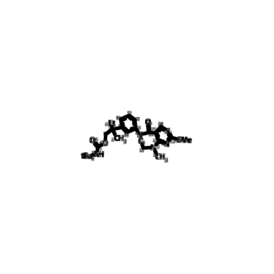 CCC(C)(COC(=O)NC(C)(C)C)c1cccc(N2CCN(C)c3nc(SC)ncc3C2=O)c1